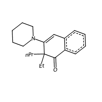 CCCC1(CC)C(=O)c2ccccc2C=C1N1CCCCC1